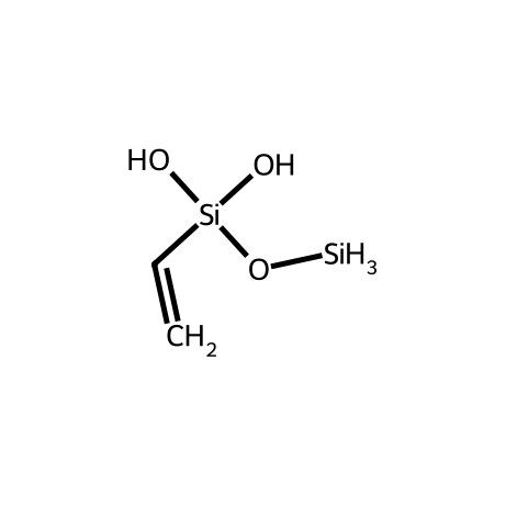 C=C[Si](O)(O)O[SiH3]